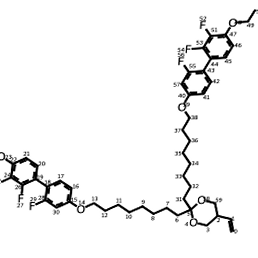 C=CC1COC(CCCCCCCCOc2ccc(-c3ccc(O)c(F)c3F)c(F)c2)(CCCCCCCCOc2ccc(-c3ccc(OCC)c(F)c3F)c(F)c2)OC1